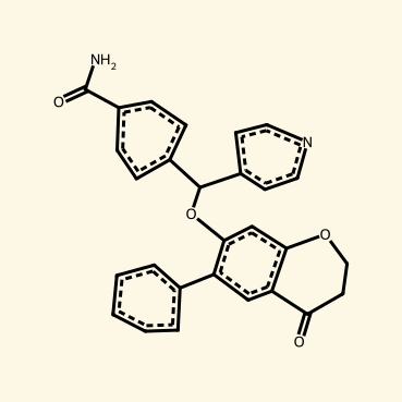 NC(=O)c1ccc(C(Oc2cc3c(cc2-c2ccccc2)C(=O)CCO3)c2ccncc2)cc1